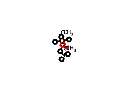 COc1ccc2c(c1)C1(c3ccccc3)c3cc(OC)ccc3C2(c2ccccc2)c2cc(-c3cccc(N(c4ccccc4)c4ccccc4)c3)c(OC)cc21